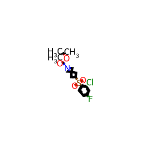 CC(C)(C)OC(=O)N1CC2(CC(S(=O)(=O)c3ccc(F)cc3Cl)C2)C1